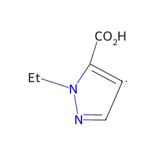 CCn1nc[c]c1C(=O)O